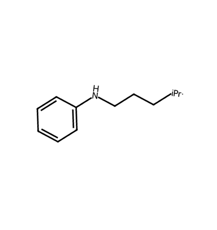 C[C](C)CCCNc1ccccc1